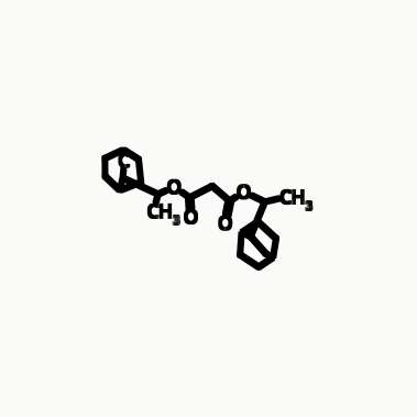 CC(OC(=O)CC(=O)OC(C)C1CC2CCC1CC2)C1CC2CCC1CC2